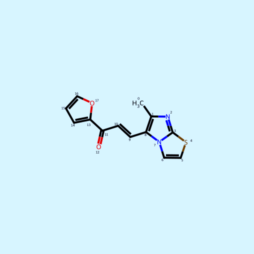 Cc1nc2sccn2c1/C=C/C(=O)c1ccco1